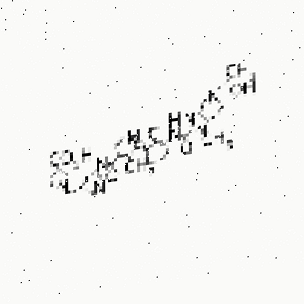 Cc1c(NC(=O)c2nc3c(n2C)CCN(C[C@H](C)O)C3)cccc1-c1cccc(-c2nc3cc(CN4CC[C@@H](C(=O)O)C4)cnc3o2)c1C